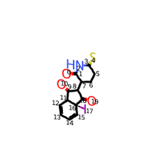 O=C1NC(=S)CCC1C1C(=O)C2C=CC=C[C@@]2(I)C1=O